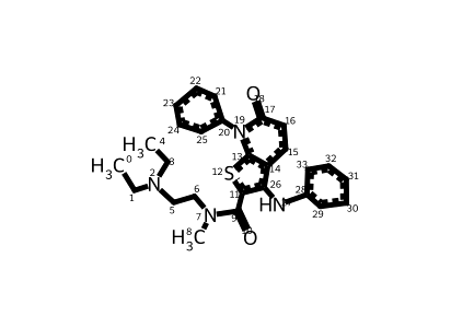 CCN(CC)CCN(C)C(=O)c1sc2c(ccc(=O)n2-c2ccccc2)c1Nc1ccccc1